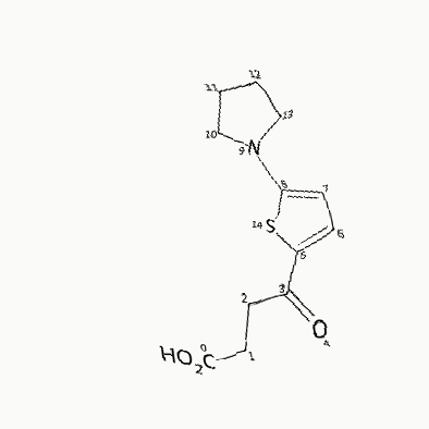 O=C(O)CCC(=O)c1ccc(N2CCCC2)s1